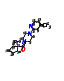 CC(C)C1(C(=O)N2CCN(c3cc(C(F)(F)F)ccn3)CC2)C[CH]CC1